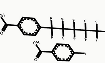 O=C(O)c1ccc(C(F)(F)C(F)(F)C(F)(F)C(F)(F)C(F)(F)F)cc1.O=C(O)c1ccc(I)cc1